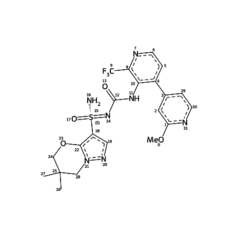 COc1cc(-c2ccnc(C(F)(F)F)c2NC(=O)N=[S@](N)(=O)c2cnn3c2OCC(C)(C)C3)ccn1